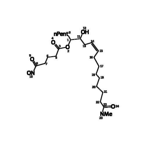 CCCCCC(OC(=O)CCCC(=O)N=O)C(O)C/C=C\CCCCCCCC(=O)NC